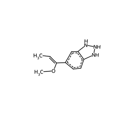 CC=C(OC)c1ccc2c(c1)NNN2